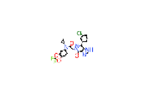 O=C(Cn1nc(-c2cccc(Cl)c2)c2[nH]cnc2c1=O)N(c1ccc2c(c1)OC(F)(F)O2)C1CC1